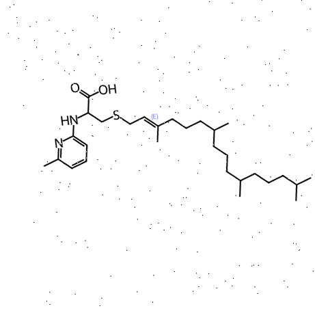 C/C(=C\CSCC(Nc1cccc(C)n1)C(=O)O)CCCC(C)CCCC(C)CCCC(C)C